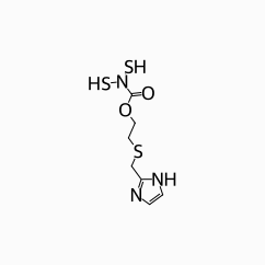 O=C(OCCSCc1ncc[nH]1)N(S)S